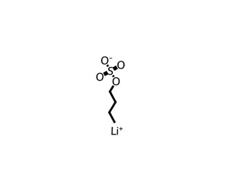 CCCCOS(=O)(=O)[O-].[Li+]